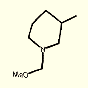 COCN1CCCC(C)C1